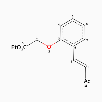 CCOC(=O)COc1ccccc1/C=C/C(C)=O